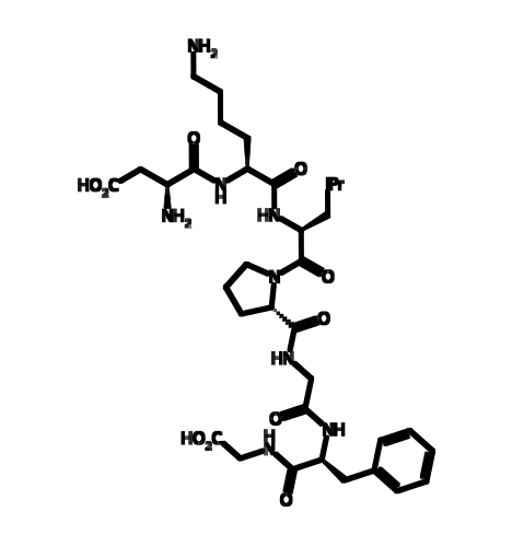 CC(C)C[C@H](NC(=O)[C@H](CCCCN)NC(=O)[C@@H](N)CC(=O)O)C(=O)N1CCC[C@H]1C(=O)NCC(=O)N[C@@H](Cc1ccccc1)C(=O)NCC(=O)O